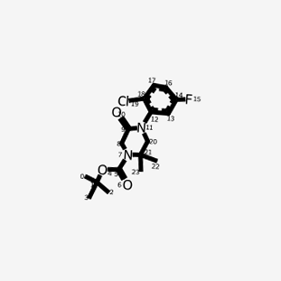 CC(C)(C)OC(=O)N1CC(=O)N(c2cc(F)ccc2Cl)CC1(C)C